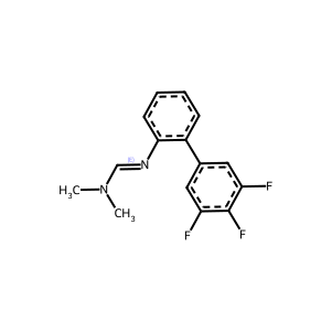 CN(C)/C=N/c1ccccc1-c1cc(F)c(F)c(F)c1